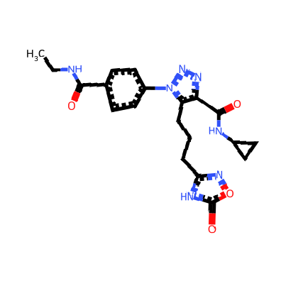 CCNC(=O)c1ccc(-n2nnc(C(=O)NC3CC3)c2CCCc2noc(=O)[nH]2)cc1